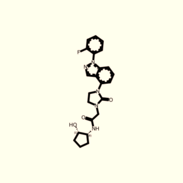 O=C(CN1CCN(c2cccc3c2cnn3-c2ccccc2F)C1=O)N[C@@H]1CCC[C@@H]1O